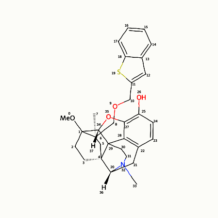 COC12CC[C@@]3(C[C@]1(C)COCc1cc4ccccc4s1)[C@H]1Cc4ccc(O)c5c4C3(CCN1C)[C@H]2O5